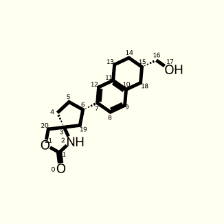 O=C1N[C@@]2(CC[C@H](c3ccc4c(c3)CC[C@H](CO)C4)C2)CO1